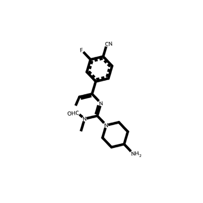 C/C=C(\N=C(/N(C)C=O)N1CCC(N)CC1)c1ccc(C#N)c(F)c1